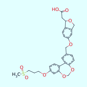 CS(=O)(=O)CCCOc1ccc2c(c1)OCOc1ccc(COc3ccc4c(c3)COC4CC(=O)O)cc1-2